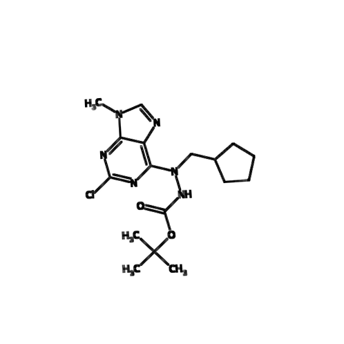 Cn1cnc2c(N(CC3CCCC3)NC(=O)OC(C)(C)C)nc(Cl)nc21